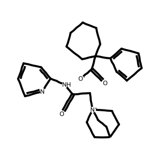 O=C(C[N+]12CCC(CC1)CC2)Nc1ccccn1.O=C([O-])C1(c2ccccc2)CCCCCC1